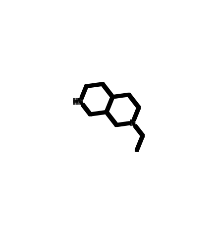 CCN1CCC2CCNCC2C1